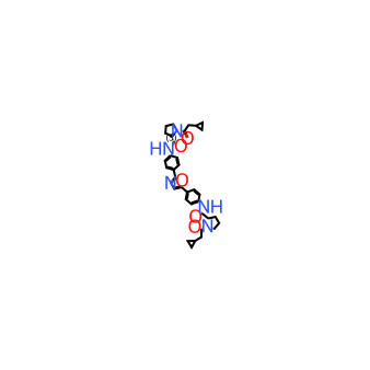 O=C(Nc1ccc(-c2cnc(-c3ccc(NC(=O)[C@@H]4CCCN4C(=O)CC4CC4)cc3)o2)cc1)C1CCCN1C(=O)CC1CC1